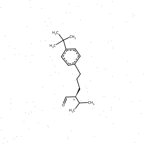 CC(C)[C@@H](C=O)CCCc1ccc(C(C)(C)C)cc1